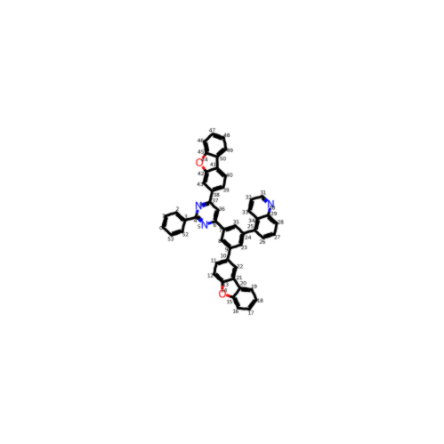 c1ccc(-c2nc(-c3cc(-c4ccc5oc6ccccc6c5c4)cc(-c4cccc5ncccc45)c3)cc(-c3ccc4c(c3)oc3ccccc34)n2)cc1